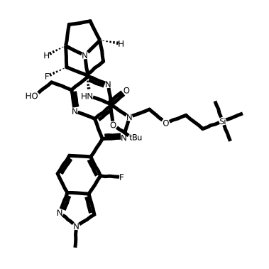 Cn1cc2c(F)c(-c3nn(COCC[Si](C)(C)C)c4nc(N5[C@H]6CC[C@@H]5[C@@H](F)[C@@H](NC(=O)OC(C)(C)C)C6)c(CO)nc34)ccc2n1